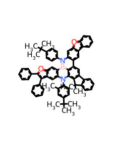 Cc1cc(C(C)(C)C)ccc1N1c2cc3c(-c4ccccc4)c(-c4ccccc4)oc3cc2B2c3c(cc4c(c31)C(C)(C)c1ccccc1-4)-c1cc3c(cc1N2c1ccc(C(C)(C)C)cc1)oc1ccccc13